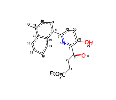 CCOC(=O)CCC(=O)c1nc(-c2ccc(C)c3ccccc23)ccc1O